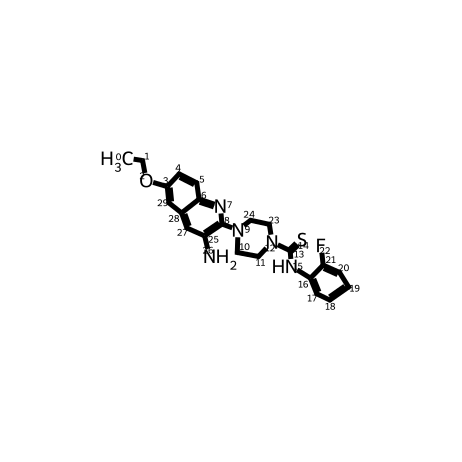 CCOc1ccc2nc(N3CCN(C(=S)Nc4ccccc4F)CC3)c(N)cc2c1